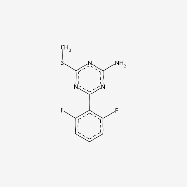 CSc1nc(N)nc(-c2c(F)cccc2F)n1